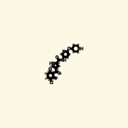 O=C(Nc1ccc(OC2CCNCC2)nc1)c1cc(C(=O)c2c(Cl)ccc(Cl)c2F)c[nH]1